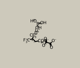 O=C([O-])C(=O)[O-].O=C([O-])CC(C(F)(F)F)C(F)(F)F.OB(O)O.[Li+].[Li+].[Li+]